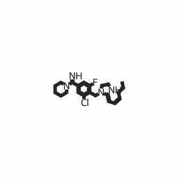 CCC/C=C\C=C1/NCCN1Cc1c(F)cc(C(=N)N2CCCCC2)cc1Cl